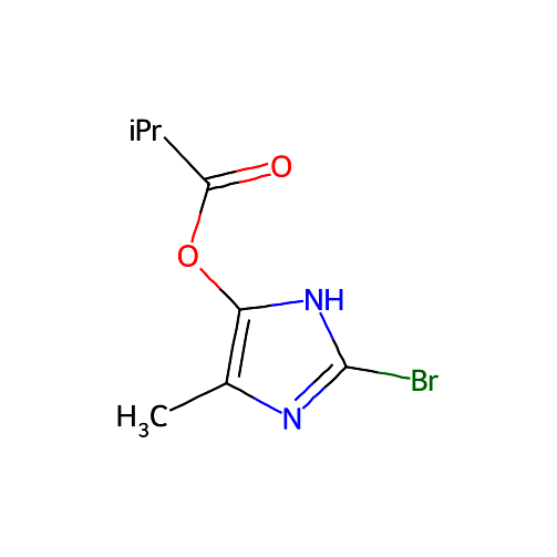 Cc1nc(Br)[nH]c1OC(=O)C(C)C